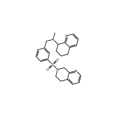 CN(Cc1cccc(S(=O)(=O)N2CCc3cccnc3C2)c1)C1CCCc2cccnc21